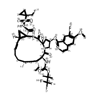 CC[C@@H]1C[C@H](C)CCC=C[C@@H]2C[C@@]2(C(=O)NS(=O)(=O)C2(CF)CC2)NC(=O)[C@@H]2C[C@@H](Oc3nccc4cc(OC)c(F)cc34)CN2C(=O)[C@H]1NC(=O)OC(C)(C)C(F)(F)F